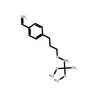 C=Cc1ccc(CCCO[SiH2]C(C)(OC)OC)cc1